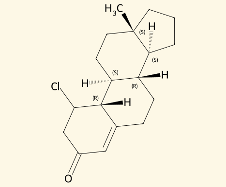 C[C@@]12CCC[C@H]1[C@@H]1CCC3=CC(=O)CC(Cl)[C@@H]3[C@H]1CC2